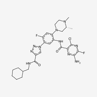 C[C@@H]1CN(c2cc(F)c(-n3cc(C(=O)NCC4CCCCC4)nn3)cc2NC(=O)c2nc(N)c(F)nc2Cl)CCN1C